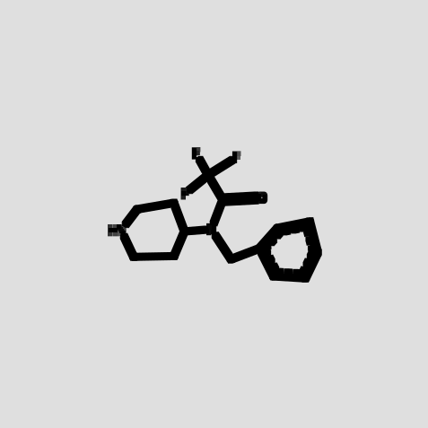 O=C(N(Cc1ccccc1)C1CCNCC1)C(F)(F)F